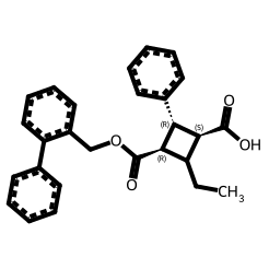 CCC1[C@@H](C(=O)OCc2ccccc2-c2ccccc2)[C@H](c2ccccc2)[C@H]1C(=O)O